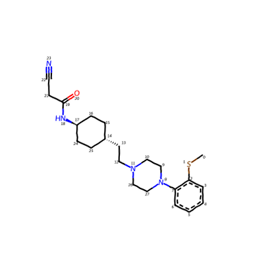 CSc1ccccc1N1CCN(CC[C@H]2CC[C@H](NC(=O)CC#N)CC2)CC1